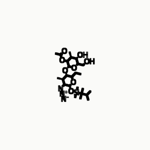 CCC1O[C@@H](O[Si](C)(C)C(C)(C)C(C)C)C(N=[N+]=[N-])[C@@H](C)[C@@H]1O[C@@H]1OC(CO)[C@@H](O)[C@H](C)C1OC(C)=O